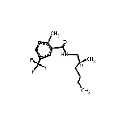 CCCC[C@H](C)CNC(=O)c1cc(C(F)(F)F)ccc1C